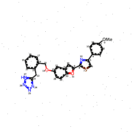 COc1ccc(-c2csc(-c3cc4cc(OCc5ccccc5Cc5nnn[nH]5)ccc4o3)n2)cc1